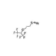 N#CSCCCOC(C(F)(F)F)C(F)(F)F